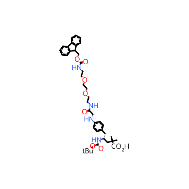 CC(C)(C)OC(=O)N[C@H](Cc1ccc(NCC(=O)NCCOCCOCCNC(=O)OCC2c3ccccc3-c3ccccc32)cc1)CC(C)(C)C(=O)O